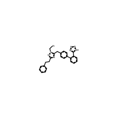 CC(C)Cn1nc(CCc2ccccc2)nc1Cc1ccc(-c2ccccc2-c2nnn[nH]2)cc1